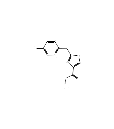 COC(=O)c1c[nH]c(Cc2ccc(O)cn2)c1